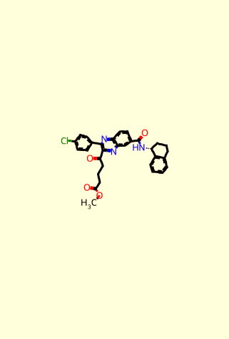 COC(=O)CCCC(=O)c1nc2cc(C(=O)N[C@@H]3CCCc4ccccc43)ccc2nc1-c1ccc(Cl)cc1